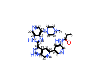 CCC(=O)Nc1cncc(-c2cc3c(-c4nc5c(N6CCN(C)CC6)cncc5[nH]4)n[nH]c3cn2)c1